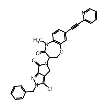 CN1C(=O)C(N2Cc3c(nn(Cc4ccccc4)c3Cl)C2=O)COc2cc(C#Cc3ccccn3)ccc21